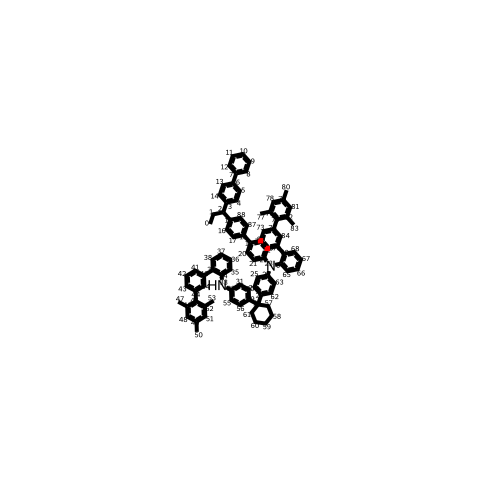 CCC(c1ccc(-c2ccccc2)cc1)c1ccc(-c2ccc(N(c3ccc(C4(c5ccc(Nc6ccccc6-c6cccc(-c7c(C)cc(C)cc7C)c6)cc5)CCCCC4)cc3)c3ccccc3-c3cccc(-c4c(C)cc(C)cc4C)c3)cc2)cc1